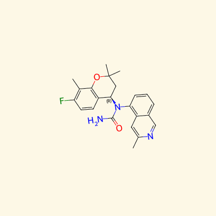 Cc1cc2c(N(C(N)=O)[C@@H]3CC(C)(C)Oc4c3ccc(F)c4C)cccc2cn1